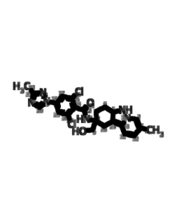 CC1=CN2NC3CCC(CO)(NC(=O)c4c(Cl)cc(-n5cnc(C)n5)cc4Cl)CC3=C2C=C1